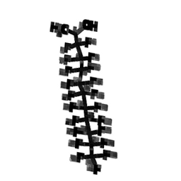 CC(O)C(F)(F)C(F)(F)C(F)(F)C(F)(F)C(F)(F)C(F)(F)C(F)(F)C(F)(F)C(F)(F)C(F)(F)F